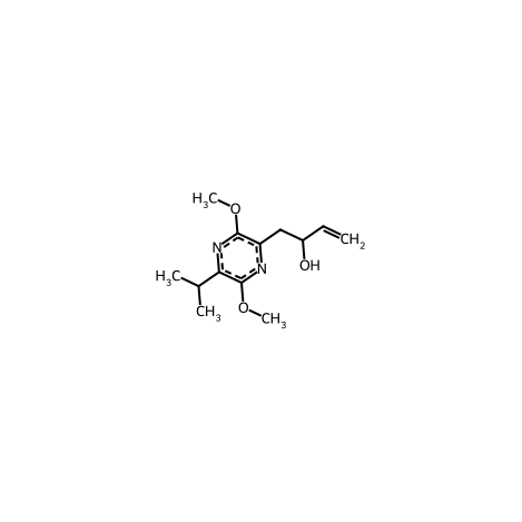 C=CC(O)Cc1nc(OC)c(C(C)C)nc1OC